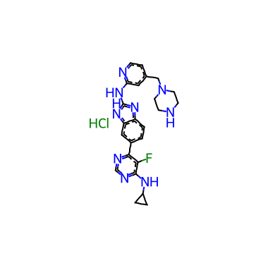 Cl.Fc1c(NC2CC2)ncnc1-c1ccc2nc(Nc3cc(CN4CCNCC4)ccn3)[nH]c2c1